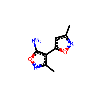 Cc1cc(-c2c(C)noc2N)on1